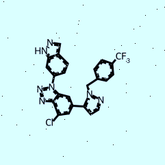 FC(F)(F)c1ccc(Cn2nccc2-c2cc(Cl)c3nnn(-c4ccc5cn[nH]c5c4)c3c2)cc1